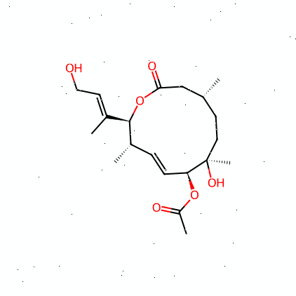 CC(=O)O[C@H]1/C=C/[C@H](C)[C@@H](/C(C)=C/CO)OC(=O)C[C@H](C)CC[C@@]1(C)O